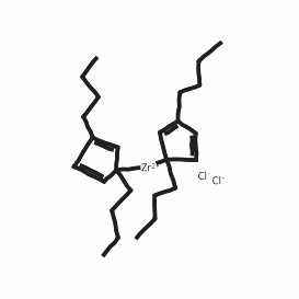 CCCCC1=C[C](CCCC)([Zr+2][C]2(CCCC)C=CC(CCCC)=C2)C=C1.[Cl-].[Cl-]